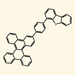 c1ccc2c(c1)sc1c(-c3ccc(-c4ccc5c(c4)c4ccccc4c4c6ccccc6c6ccccc6c54)cc3)cccc12